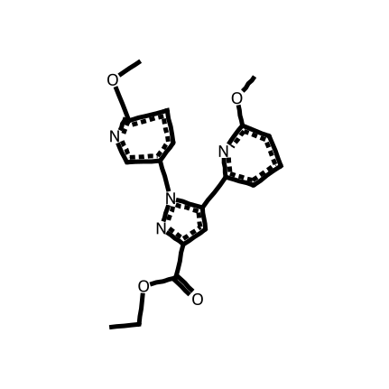 CCOC(=O)c1cc(-c2cccc(OC)n2)n(-c2ccc(OC)nc2)n1